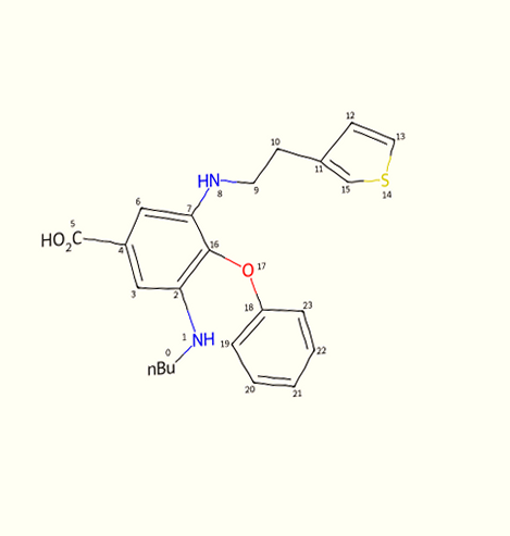 CCCCNc1cc(C(=O)O)cc(NCCc2ccsc2)c1Oc1ccccc1